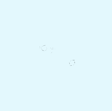 O=C(CCCCCCc1cccc(F)c1)Nc1ccnc(C(F)(F)F)c1